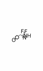 COc1ccc(CC2C=NNC2C(F)F)cc1